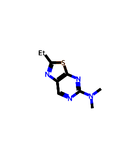 CCc1nc2cnc(N(C)C)nc2s1